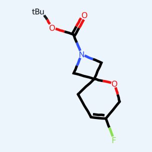 CC(C)(C)OC(=O)N1CC2(CC=C(F)CO2)C1